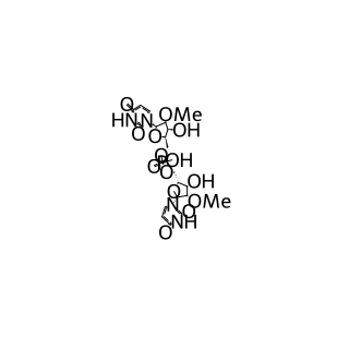 CO[C@@H]1[C@@H](O)[C@@H](COP(=O)(O)OC[C@H]2O[C@@H](n3ccc(=O)[nH]c3=O)[C@H](OC)[C@H]2O)O[C@H]1n1ccc(=O)[nH]c1=O